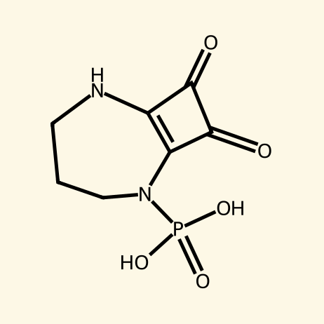 O=c1c2c(c1=O)N(P(=O)(O)O)CCCN2